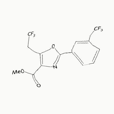 COC(=O)c1nc(-c2cccc(C(F)(F)F)c2)oc1CC(F)(F)F